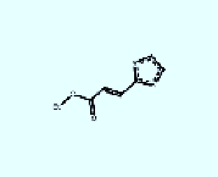 CCOC(=O)/C=C/c1nccs1